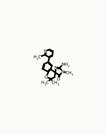 Cc1ncccc1-c1ccc2c(c1)C1(CC(C)(C)O2)N=C(N)N(C)C1=O